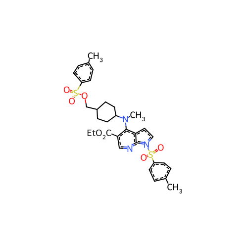 CCOC(=O)c1cnc2c(ccn2S(=O)(=O)c2ccc(C)cc2)c1N(C)C1CCC(COS(=O)(=O)c2ccc(C)cc2)CC1